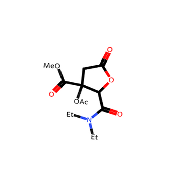 CCN(CC)C(=O)C1OC(=O)CC1(OC(C)=O)C(=O)OC